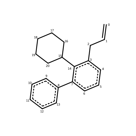 C=CCc1cccc(-c2ccccc2)c1C1CCCCC1